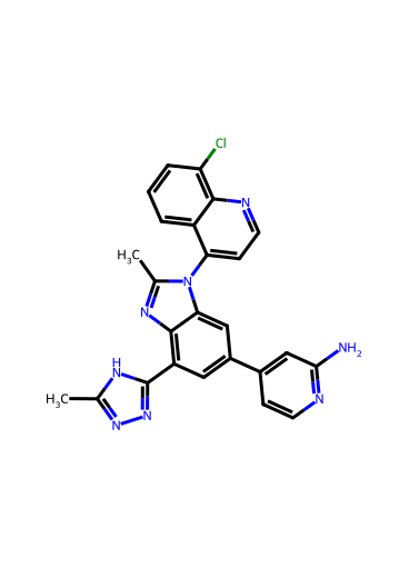 Cc1nnc(-c2cc(-c3ccnc(N)c3)cc3c2nc(C)n3-c2ccnc3c(Cl)cccc23)[nH]1